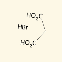 Br.O=C(O)CC(=O)O